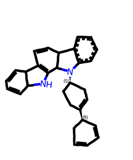 C1=CC[C@@H](C2=CC[C@@H](N3c4ccccc4C4C=CC5=C(NC6C=CC=CC56)C43)CC2)C=C1